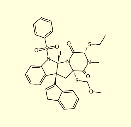 CCS[C@H]1C(=O)N2[C@H]3N(S(=O)(=O)c4ccccc4)c4ccccc4[C@@]3(C3=CCc4ccccc43)C[C@]2(SCOC)C(=O)N1C